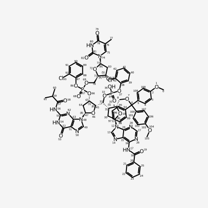 COc1ccc(C(OC[C@@H]2O[C@@H](n3cnc4c(NC(=O)c5ccccc5)ncnc43)C[C@@H]2C(OP(=O)(O)Oc2ccccc2Cl)[C@@H]2O[C@@H](n3cnc4c(=O)[nH]c(NC(=O)C(C)C)nc43)C[C@@H]2OP(=O)(OC[C@H]2O[C@@H](n3cc(C)c(=O)[nH]c3=O)C[C@@H]2O)Oc2ccccc2Cl)(c2ccccc2)c2ccc(OC)cc2)cc1